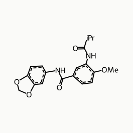 COc1ccc(C(=O)Nc2ccc3c(c2)OCO3)cc1NC(=O)C(C)C